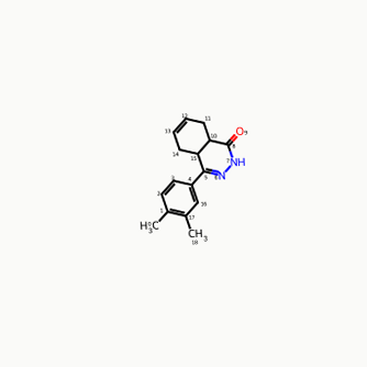 Cc1ccc(C2=NNC(=O)C3CC=CCC23)cc1C